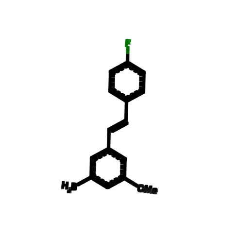 Bc1cc(C=Cc2ccc(F)cc2)cc(OC)c1